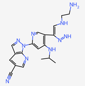 CC(C)Nc1cc(-n2ncc3cc(C#N)cnc32)ncc1/C(=C/NCCN)N=N